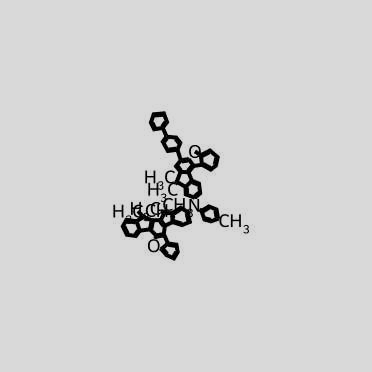 Cc1ccc(N(c2ccc3c(c2)C(C)(C)c2cc(-c4ccc(-c5ccccc5)cc4)c4oc5ccccc5c4c2-3)c2ccc3c(c2)C(C)(C)c2c4c(c5oc6ccccc6c5c2-3)-c2ccccc2C4(C)C)cc1